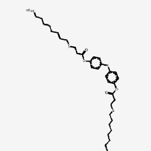 CCCCCCCCCCCCCCCCCCSCCC(=O)Oc1ccc(Sc2ccc(OC(=O)CCSCCCCCCCCCCCCCCCCCC)cc2)cc1